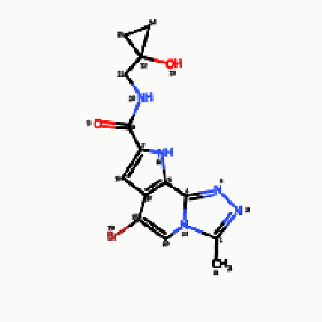 Cc1nnc2c3[nH]c(C(=O)NCC4(O)CC4)cc3c(Br)cn12